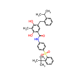 Cc1c(O)c(Cc2ccccc2C(C)C)cc(C(=O)Nc2ccc(S(=O)(=O)c3ccccc3C(C)(C)C)cc2)c1O